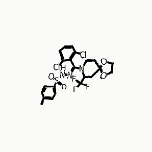 Cc1ccc(S(=O)(=O)N/N=C(\c2c(Cl)cccc2Cl)N2CCC3(CC2C(F)(F)F)OCCO3)cc1